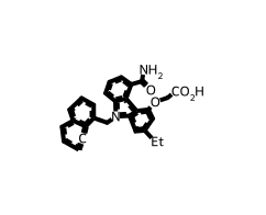 CCc1cc(OCC(=O)O)c2c3c(C(N)=O)cccc3n(Cc3cccc4ccccc34)c2c1